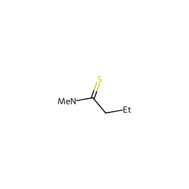 CCCC(=S)NC